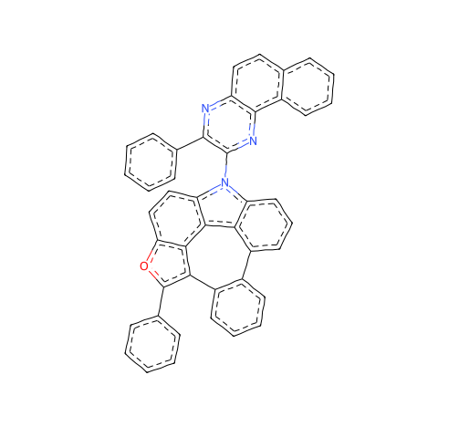 c1ccc(-c2nc3ccc4ccccc4c3nc2-n2c3cccc4c3c3c5c(c(-c6ccccc6)oc5ccc32)-c2ccccc2-4)cc1